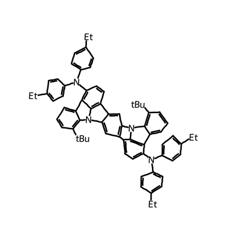 CCc1ccc(N(c2ccc(CC)cc2)c2ccc3c4cc5c(cc4n4c6c(C(C)(C)C)cccc6c2c34)c2ccc(N(c3ccc(CC)cc3)c3ccc(CC)cc3)c3c4cccc(C(C)(C)C)c4n5c23)cc1